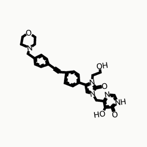 O=c1[nH]cnc(Cn2cc(-c3ccc(C#Cc4ccc(CN5CCOCC5)cc4)cc3)n(CCO)c2=O)c1O